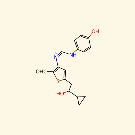 O=Cc1sc(CC(O)C2CC2)cc1/N=C\Nc1ccc(O)cc1